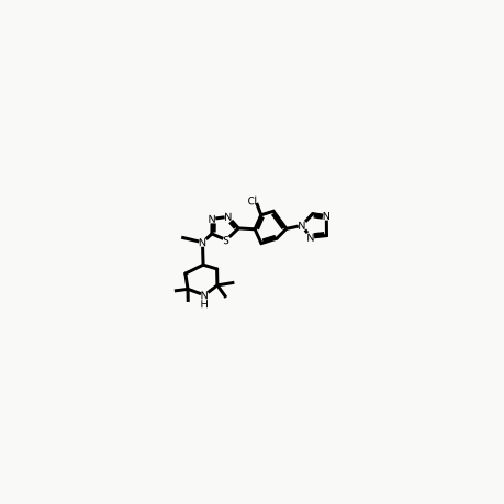 CN(c1nnc(-c2ccc(-n3cncn3)cc2Cl)s1)C1CC(C)(C)NC(C)(C)C1